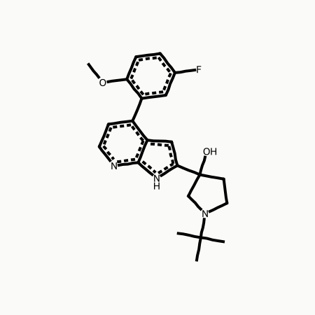 COc1ccc(F)cc1-c1ccnc2[nH]c(C3(O)CCN(C(C)(C)C)C3)cc12